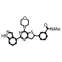 CNC(=O)c1cccc(C2Cc3nc(-c4cccc5[nH]ncc45)nc(N4CCOCC4)c3S2)c1